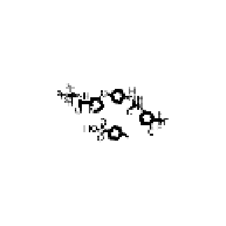 Cc1ccc(S(=O)(=O)O)cc1.[2H]C([2H])([2H])NC(=O)c1cc(Oc2ccc(NC(=O)Nc3ccc(Cl)c(C(F)(F)F)c3)cc2)ccn1